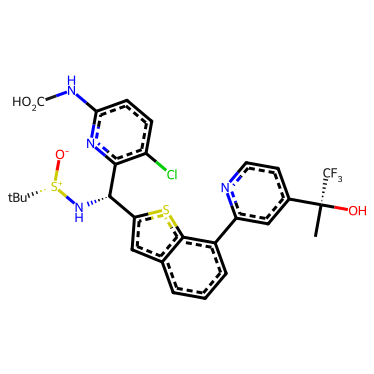 CC(C)(C)[S@+]([O-])N[C@@H](c1cc2cccc(-c3cc([C@](C)(O)C(F)(F)F)ccn3)c2s1)c1nc(NC(=O)O)ccc1Cl